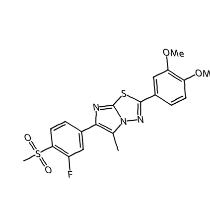 COc1ccc(-c2nn3c(C)c(-c4ccc(S(C)(=O)=O)c(F)c4)nc3s2)cc1OC